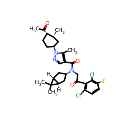 CC(=O)[C@H]1CC[C@H](n2ncc(C(=O)N(CC(=O)c3c(Cl)ccc(F)c3Cl)[C@H]3C[C@@H]4[C@H](C3)C4(C)C)c2C)C[C@H]1C